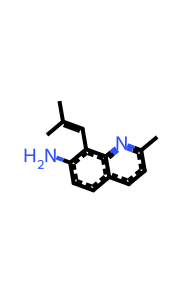 CC(C)=Cc1c(N)ccc2ccc(C)nc12